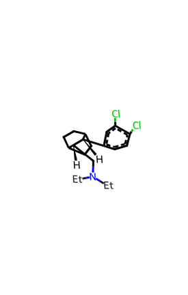 CCN(CC)C[C@@H]1C2CCC(CC2)[C@@H]1c1ccc(Cl)c(Cl)c1